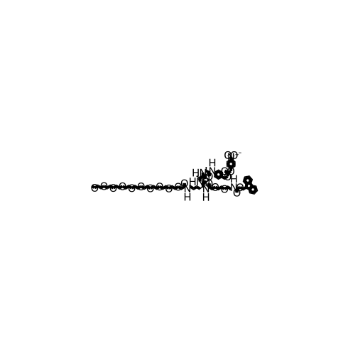 COCCOCCOCCOCCOCCOCCOCCOCCOCCOCC(=O)NCCCC[C@H](NC(=O)COCCOCCNC(=O)OCC1c2ccccc2-c2ccccc21)C(=O)N[C@@H](C)C(=O)N[C@@H](C)C(=O)Nc1ccc(COC(=O)Oc2ccc([N+](=O)[O-])cc2)cc1